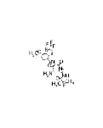 COc1ccc(-c2nc(C(=O)N3CC(NC(=O)C(C)(C)F)C3)c(CN)o2)c2ccc(C(F)(F)F)nc12